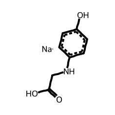 O=C(O)CNc1ccc(O)cc1.[Na]